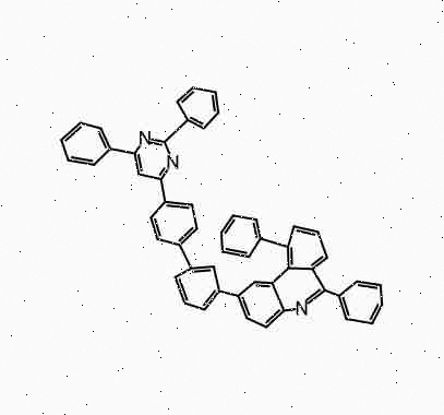 c1ccc(-c2cc(-c3ccc(-c4cccc(-c5ccc6nc(-c7ccccc7)c7cccc(-c8ccccc8)c7c6c5)c4)cc3)nc(-c3ccccc3)n2)cc1